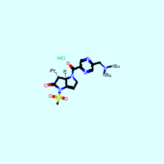 CCCCN(CCCC)Cc1cnc(C(=O)N2CC=C3[C@H]2[C@@H](C(C)C)C(=O)N3S(C)(=O)=O)cn1.Cl